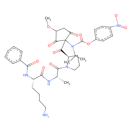 COC1CC(=O)C(C(=O)[C@H]2CCCN2C(=O)[C@H](C)NC(=O)[C@H](CCCCN)NC(=O)c2ccccc2)(N(C(=O)Oc2ccc([N+](=O)[O-])cc2)C(C)C)C1=O